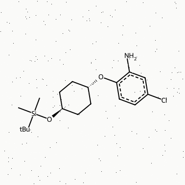 CC(C)(C)[Si](C)(C)O[C@H]1CC[C@H](Oc2ccc(Cl)cc2N)CC1